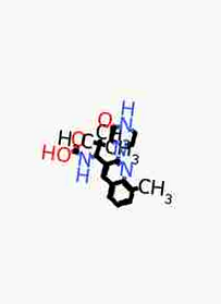 Cc1cccc2cc(C(NC(=O)O)C(C)(C)C)c(N3CCNC(=O)C3)nc12